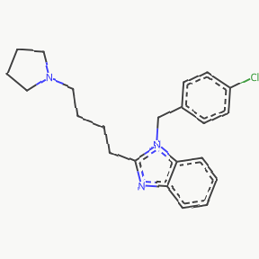 Clc1ccc(Cn2c(CCCCN3CCCC3)nc3ccccc32)cc1